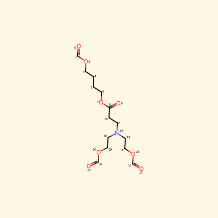 O=COCCCCOC(=O)CCN(CCOC=O)CCOC=O